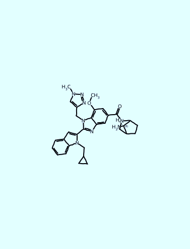 COc1cc(C(=O)N2CC3CCC2[C@@H]3N)cc2nc(-c3cc4ccccc4n3CC3CC3)n(Cc3cn(C)nn3)c12